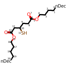 CCCCCCCCCCCCCCOC(=O)CCC(S)CC(=O)OCCCCCCCCCCCCCC